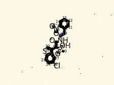 CP(=O)(O)C(C(=O)N/C=C/c1ccccc1[N+](=O)[O-])c1csc2ccc(Cl)cc12